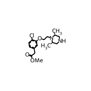 COC(=O)Cc1ccc(Cl)c(OCCN2[C@H](C)CNC[C@@H]2C)c1